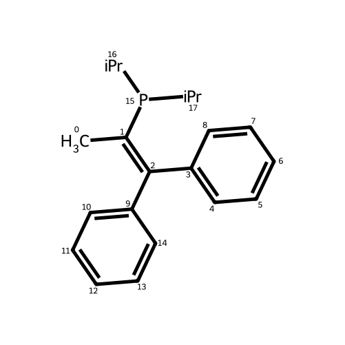 CC(=C(c1ccccc1)c1ccccc1)P(C(C)C)C(C)C